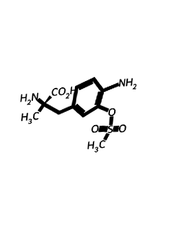 C[C@](N)(Cc1ccc(N)c(OS(C)(=O)=O)c1)C(=O)O